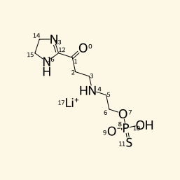 O=C(CCNCCO[P@]([O-])(O)=S)C1=NCCN1.[Li+]